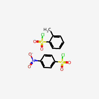 Cc1ccccc1S(=O)(=O)Cl.O=[N+]([O-])c1ccc(S(=O)(=O)Cl)cc1